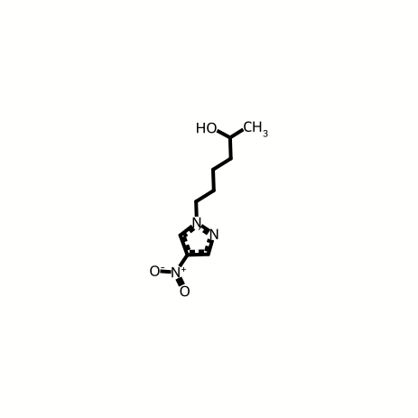 CC(O)CCCCn1cc([N+](=O)[O-])cn1